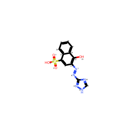 O=S(=O)(O)c1cc(N=Nc2nc[nH]n2)c(O)c2ccccc12